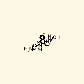 CC1(N)COC(c2nc(-c3ccc(F)cc3)c(-c3ccnc(NCCO)n3)[nH]2)OC1